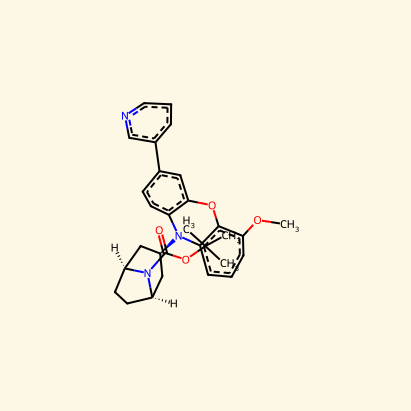 COc1cccc2c1Oc1cc(-c3cccnc3)ccc1N2[C@H]1C[C@H]2CC[C@@H](C1)N2C(=O)OC(C)(C)C